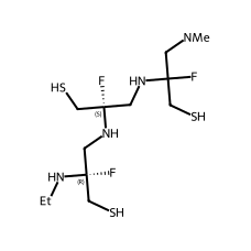 CCN[C@](F)(CS)CN[C@@](F)(CS)CNC(F)(CS)CNC